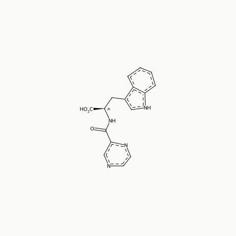 O=C(N[C@H](Cc1c[nH]c2ccccc12)C(=O)O)c1cnccn1